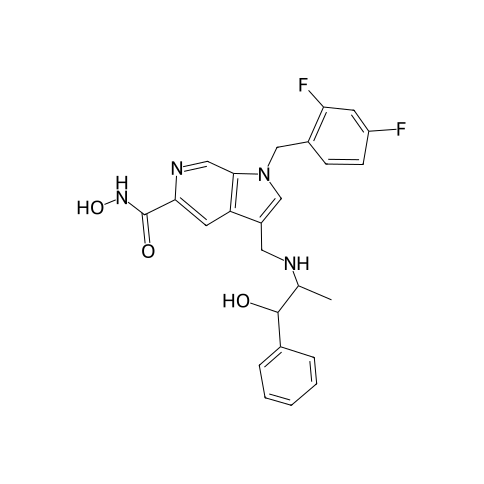 CC(NCc1cn(Cc2ccc(F)cc2F)c2cnc(C(=O)NO)cc12)C(O)c1ccccc1